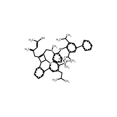 C=C(/C=C(\C)S)CC1=C(CN(C)c2ccccc2Nc2c(C(C)C)cc(-c3ccccc3)cc2C(C)C)C2C1c1ccccc1-c1cc(CC(C)C)c([Si](C)(C)C)c[n+]12